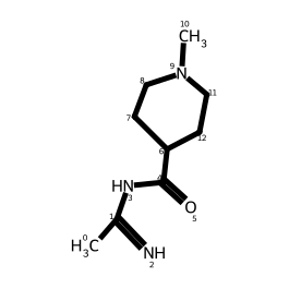 CC(=N)NC(=O)C1CCN(C)CC1